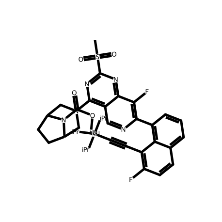 CC(C)[Si](C#Cc1c(F)ccc2cccc(-c3ncc4c(N5CC6CCC(C5)N6C(=O)OC(C)(C)C)nc(S(C)(=O)=O)nc4c3F)c12)(C(C)C)C(C)C